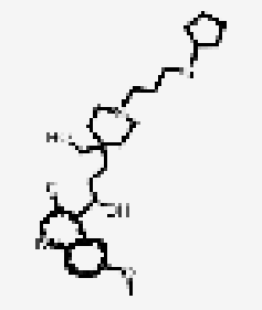 COc1ccc2ncc(Cl)c([C@H](O)CCC3(CO)CCN(CCCSC4CCCC4)CC3)c2c1